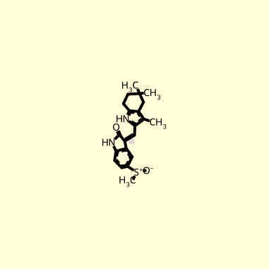 Cc1c(/C=C2\C(=O)Nc3ccc([S+](C)[O-])cc32)[nH]c2c1CC(C)(C)CC2